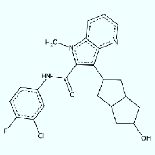 Cn1c(C(=O)Nc2ccc(F)c(Cl)c2)c(C2CC3CC(O)CC3C2)c2ncccc21